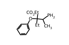 CCOC(=O)C(CC)(Oc1ccccc1)C(C)P